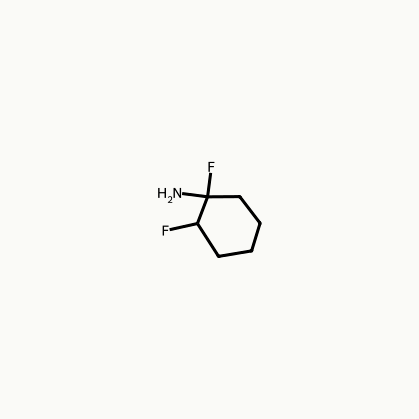 NC1(F)CCCCC1F